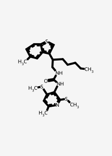 CCCCCC(CNC(=O)Nc1c(SC)cc(C)nc1SC)c1csc2ccc(C)cc12